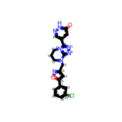 O=c1cc(-c2nnc3n2CCCN3Cc2cc(-c3cccc(Cl)c3)on2)cn[nH]1